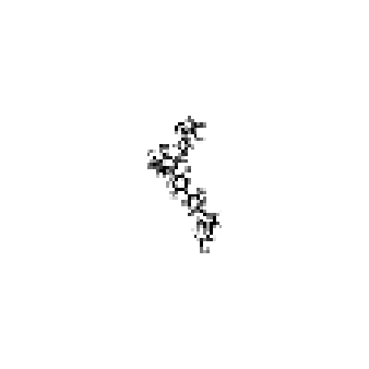 Cc1cc(-c2ccc(-c3ccn(CC(C)C)n3)cc2)ccc1C1=NC2(CC2)C(=O)N1CC1CN(C(=O)C2(C)CC2)C1